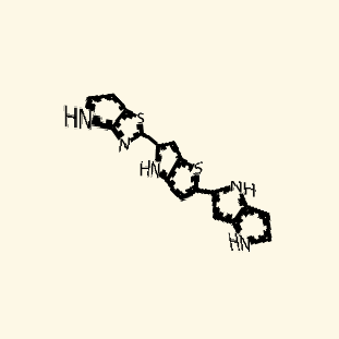 c1cc2[nH]c(-c3cc4[nH]c(-c5nc6[nH]ccc6s5)cc4s3)cc2[nH]1